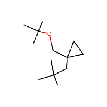 CC(C)(C)CC1(COC(C)(C)C)CC1